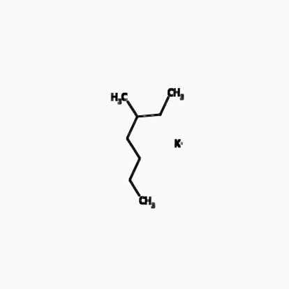 CCCCC(C)CC.[K]